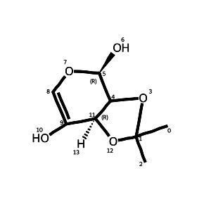 CC1(C)OC2[C@H](O)OC=C(O)[C@@H]2O1